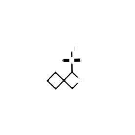 CS(=O)(=O)C1NCC12CCC2